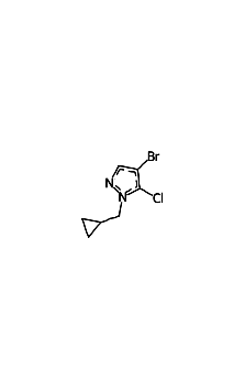 Clc1c(Br)cnn1CC1CC1